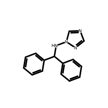 c1ccc(C(Nn2cncn2)c2ccccc2)cc1